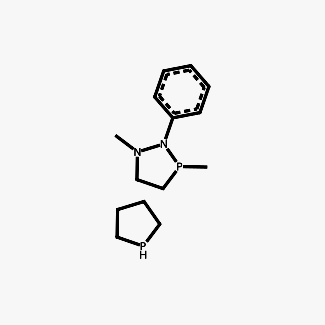 C1CCPC1.CN1CCP(C)N1c1ccccc1